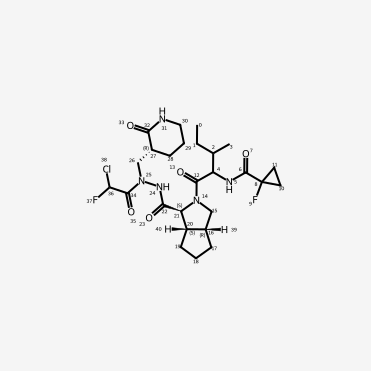 CCC(C)C(NC(=O)C1(F)CC1)C(=O)N1C[C@@H]2CCC[C@@H]2[C@H]1C(=O)NN(C[C@H]1CCCNC1=O)C(=O)C(F)Cl